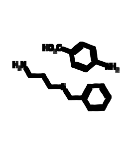 NCCCSCc1ccccc1.Nc1ccc(C(=O)O)cc1